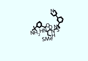 CSCCC(NC(=O)c1cccc(C(C)(C)CN)c1)C(=O)Nc1nc(-c2cccc(-c3ccncc3)c2)cs1